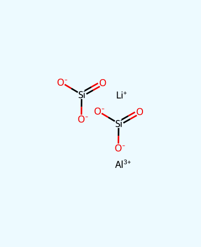 O=[Si]([O-])[O-].O=[Si]([O-])[O-].[Al+3].[Li+]